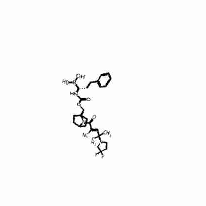 CC(C)(/C=C(\C#N)C(=O)N1C2CCC1(COC(=O)N[C@@H](CCc1ccccc1)B(O)O)CC2)N1CCC(F)(F)C1